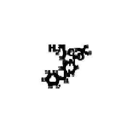 CC(C)(C)OC(=O)N1CCN(Cc2ccccc2)C[C@@H]1CCN